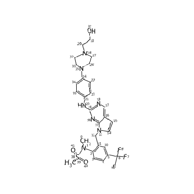 CN(c1ccc(C(F)(F)F)cc1Cn1ccc2cnc(Nc3ccc(N4CCN(CCO)CC4)cc3)nc21)S(C)(=O)=O